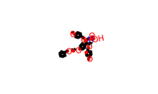 COc1ccc(CO[C@H]2CN(C(=O)O)C[C@@H](OCc3ccc(OC)cc3)C2c2ccc(OCCCOCc3ccccc3)cc2)cc1